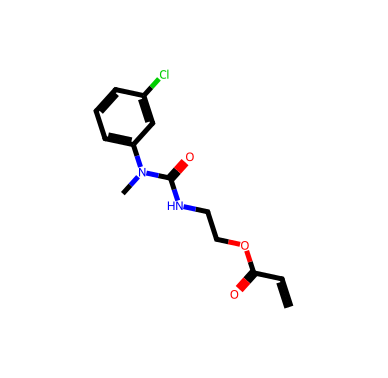 C=CC(=O)OCCNC(=O)N(C)c1cccc(Cl)c1